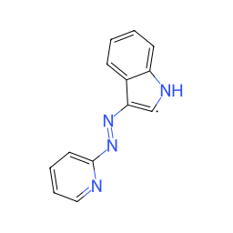 [c]1[nH]c2ccccc2c1N=Nc1ccccn1